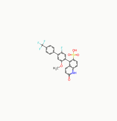 COc1cc(-c2ccc(C(F)(F)F)cc2)c(F)cc1-c1c(S(=O)(=O)O)ccc2[nH]c(=O)ccc12